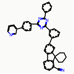 N#Cc1cccc2c1C1(CCCCC1)c1cc(-c3cccc(-c4nc(-c5ccccc5)nc(-c5ccc(C6=C=C=CN=C6)cc5)n4)c3)ccc1-2